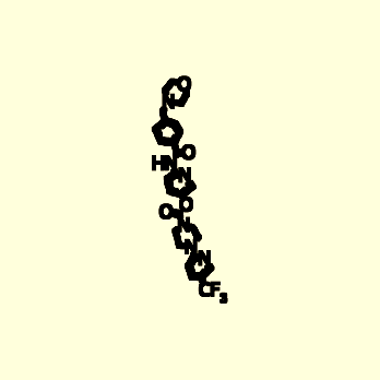 O=C(Nc1ccc(OC(=O)N2CCN(c3ccc(C(F)(F)F)cn3)CC2)cn1)c1ccc(CN2CCOCC2)cc1